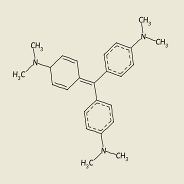 CN(C)c1ccc(C(=C2C=CC(N(C)C)C=C2)c2ccc(N(C)C)cc2)cc1